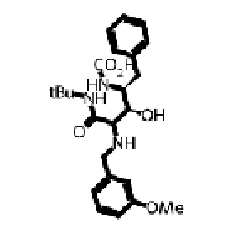 COc1cccc(CNC(C(=O)NC(C)(C)C)[C@H](O)[C@H](Cc2ccccc2)NC(=O)O)c1